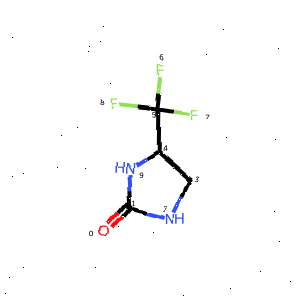 O=C1NCC(C(F)(F)F)N1